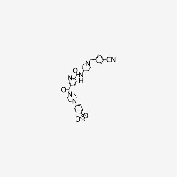 CS(=O)(=O)c1ccc(N2CCN(C(=O)c3ccc(C(=O)NC4CCN(Cc5ccc(C#N)cc5)CC4)nc3)CC2)cc1